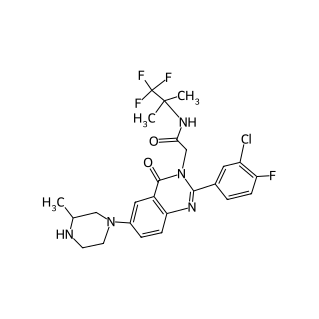 CC1CN(c2ccc3nc(-c4ccc(F)c(Cl)c4)n(CC(=O)NC(C)(C)C(F)(F)F)c(=O)c3c2)CCN1